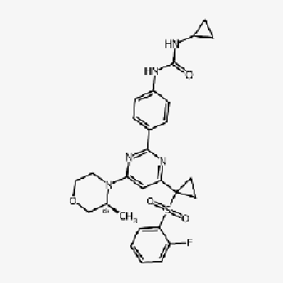 C[C@H]1COCCN1c1cc(C2(S(=O)(=O)c3ccccc3F)CC2)nc(-c2ccc(NC(=O)NC3CC3)cc2)n1